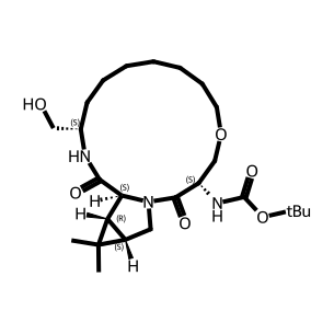 CC(C)(C)OC(=O)N[C@H]1COCCCCCCC[C@@H](CO)NC(=O)[C@@H]2[C@@H]3[C@H](CN2C1=O)C3(C)C